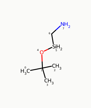 CC(C)(C)O[SiH2]CN